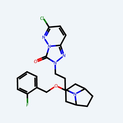 O=c1n(CCCN2C3CCC2CC(OCc2ccccc2F)C3)nc2ccc(Cl)nn12